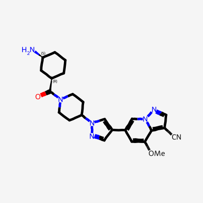 COc1cc(-c2cnn(C3CCN(C(=O)[C@@H]4CCC[C@H](N)C4)CC3)c2)cn2ncc(C#N)c12